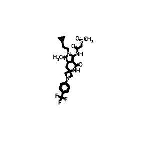 CN1C2CC3(CN(c4ccc(C(F)(F)F)cc4)C3)NC(=O)C2=C(NC(=O)C[S+](C)[O-])N1CCC1CC1